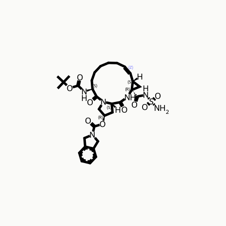 CC(C)(C)OC(=O)N[C@H]1CCCCC/C=C\[C@@H]2C[C@@]2(C(=O)NS(N)(=O)=O)NC(=O)[C@@H]2C[C@@H](OC(=O)N3Cc4ccccc4C3)CN2C1=O